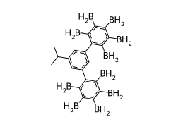 Bc1c(B)c(B)c(-c2cc(-c3c(B)c(B)c(B)c(B)c3B)cc(C(C)C)c2)c(B)c1B